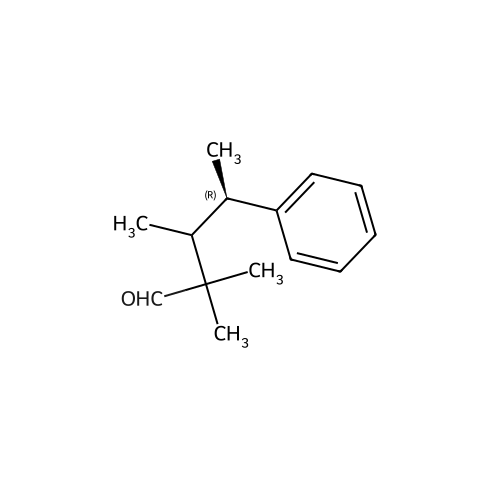 CC([C@@H](C)c1ccccc1)C(C)(C)C=O